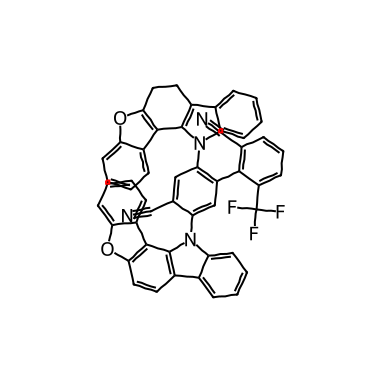 N#Cc1cc(-n2c3c(c4ccccc42)CCc2oc4ccccc4c2-3)c(-c2c(C#N)cccc2C(F)(F)F)cc1-n1c2ccccc2c2ccc3oc4ccccc4c3c21